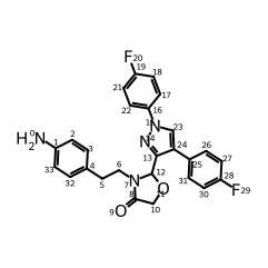 Nc1ccc(CCN2C(=O)COC2c2nn(-c3ccc(F)cc3)cc2-c2ccc(F)cc2)cc1